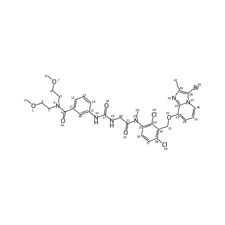 COCCN(CCOC)C(=O)c1cccc(NC(=O)NCC(=O)N(C)c2ccc(Cl)c(COc3cccn4c(Br)c(C)nc34)c2Cl)c1